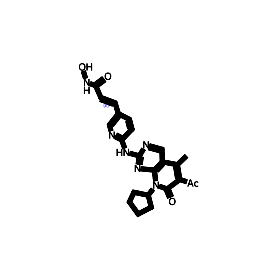 CC(=O)c1c(C)c2cnc(Nc3ccc(/C=C/C(=O)NO)cn3)nc2n(C2CCCC2)c1=O